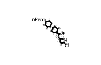 CCCCC[C@H]1CC[C@H](C2CCC(C(=O)Oc3ccc(Cl)nc3)CC2)CC1